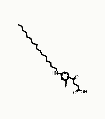 CCCCCCCCCCCCCCCCNc1ccc(C(=O)CCC(=O)O)c(F)c1